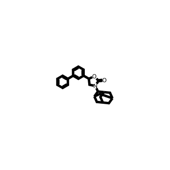 O=C1OC(c2cccc(-c3ccccc3)c2)CN1C1C2CC3CC(C2)CC1C3